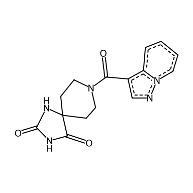 O=C1NC(=O)C2(CCN(C(=O)c3cnn4ccccc34)CC2)N1